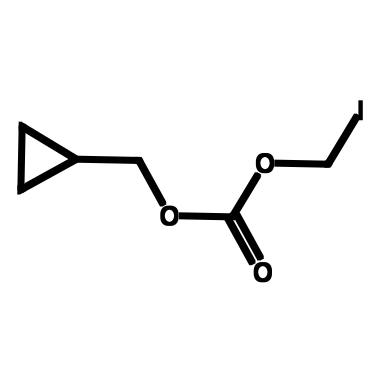 O=C(OCI)OCC1CC1